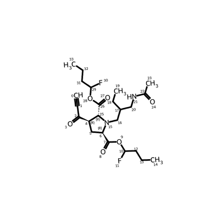 C#CC(=O)[C@@H]1C[C@H](C(=O)OC(F)CCC)N(CC(CC)CNC(C)=O)[C@H]1C(=O)OC(F)CCC